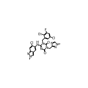 CCc1c(F)cc(Cl)cc1Cn1c(Nc2cc3cn(C)nc3cc2Cl)nc(=O)n(Cc2ncn(C)n2)c1=O